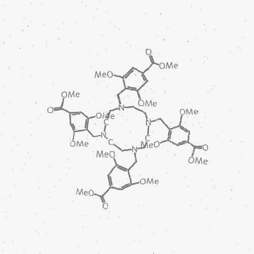 COC(=O)c1cc(OC)c(CN2CCN(Cc3c(OC)cc(C(=O)OC)cc3OC)CCN(Cc3c(OC)cc(C(=O)OC)cc3OC)CCN(Cc3c(OC)cc(C(=O)OC)cc3OC)CC2)c(OC)c1